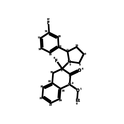 CCON1C(=O)C(F)(N2CCCC2c2cccc(F)c2)Cc2ccccc21